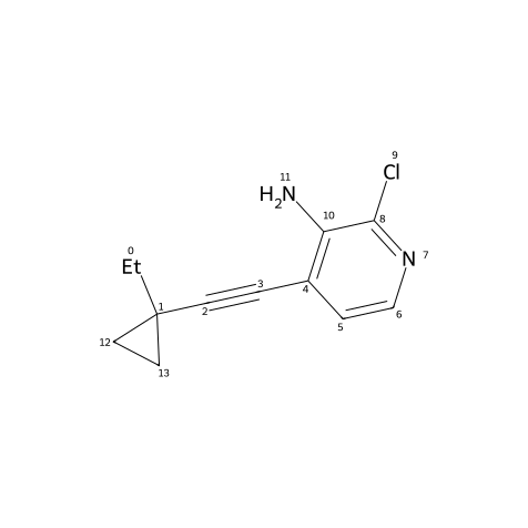 CCC1(C#Cc2ccnc(Cl)c2N)CC1